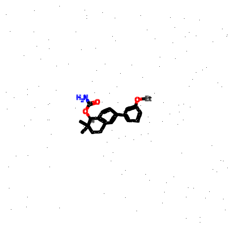 CCOc1cccc(-c2ccc3c(c2)CCC(C)(C)[C@H]3OC(N)=O)c1